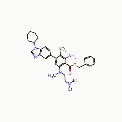 CCN(CC)CCN(C)c1cc(-c2ccc3c(c2)ncn3C2CCCCC2)c([N+](=O)[O-])c(N)c1C(=O)OCc1ccccc1